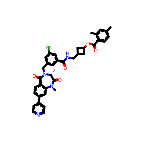 Cc1ccc(C(=O)OC2CC(CNC(=O)c3cc(Br)cc(CN4C(=O)c5ccc(-c6ccncc6)cc5N(C)C(=O)[C@H]4C)c3)C2)c(C)c1